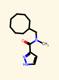 CN([CH]C1CCCCCCC1)C(=O)c1cc[nH]n1